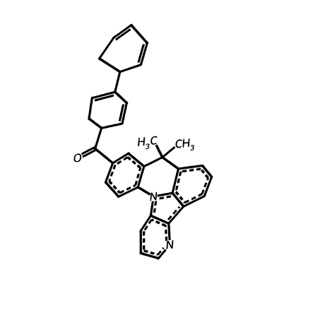 CC1(C)c2cc(C(=O)C3C=CC(C4C=CC=CC4)=CC3)ccc2-n2c3cccnc3c3cccc1c32